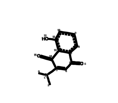 CN(C)C1=CC(=O)c2cccc(O)c2C1=O